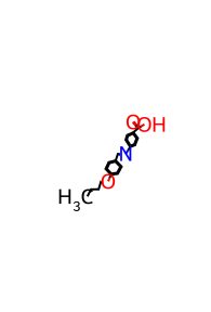 CCCCOc1ccc(/C=N/c2ccc(C(=O)O)cc2)cc1